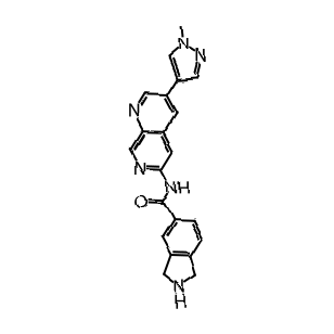 Cn1cc(-c2cnc3cnc(NC(=O)c4ccc5c(c4)CNC5)cc3c2)cn1